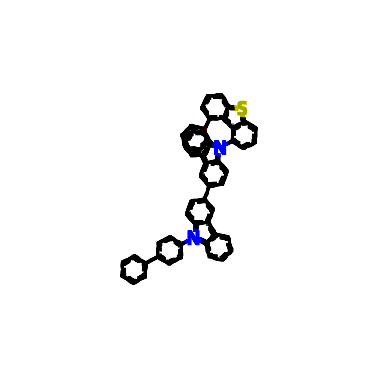 c1ccc(-c2ccc(-n3c4ccccc4c4cc(-c5ccc6c(c5)c5ccccc5n6-c5cccc6sc7cccc(-c8ccccc8)c7c56)ccc43)cc2)cc1